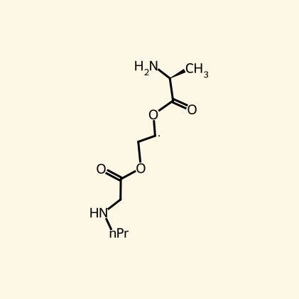 CCCNCC(=O)OC[CH]OC(=O)[C@H](C)N